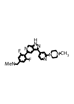 CNCc1cc(F)c(-c2cc3c(-c4ccnc(N5CCN(C)CC5)c4)n[nH]c3cn2)c(F)c1